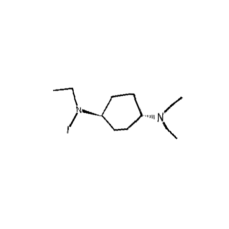 CCN(I)[C@H]1CC[C@H](N(C)C)CC1